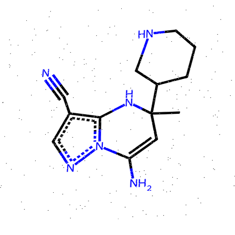 CC1(C2CCCNC2)C=C(N)n2ncc(C#N)c2N1